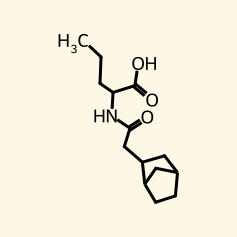 CCCC(NC(=O)CC1CC2CCC1C2)C(=O)O